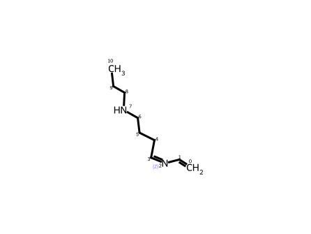 C=C/N=C\CCCNCCC